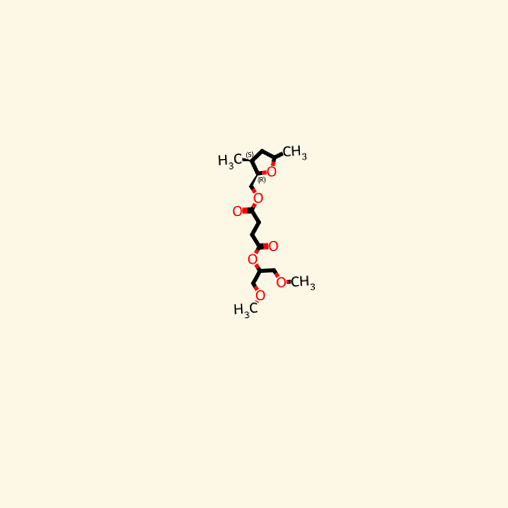 COCC(COC)OC(=O)CCC(=O)OC[C@@H]1OC(C)C[C@@H]1C